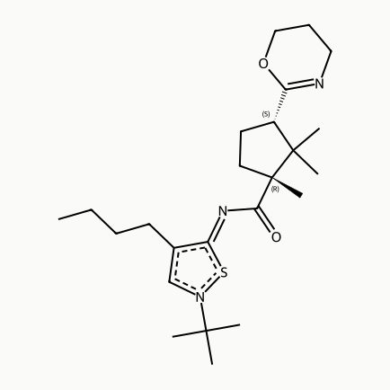 CCCCc1cn(C(C)(C)C)sc1=NC(=O)[C@]1(C)CC[C@H](C2=NCCCO2)C1(C)C